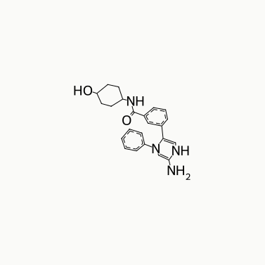 NC1=CN(c2ccccc2)C(c2cccc(C(=O)NC3CCC(O)CC3)c2)=CN1